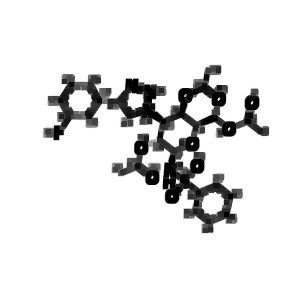 CC(=O)OC[C@H]1O[C@@H](NS(=O)(=O)c2ccccc2)[C@H](OC(C)=O)[C@@H](n2cc(-c3cccc(F)c3)nn2)[C@H]1OC(C)=O